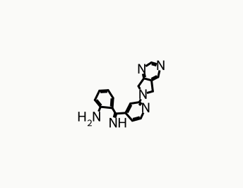 N=C(c1ccnc(N2Cc3cncnc3C2)c1)c1ccccc1N